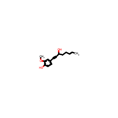 CCCCCC(O)C#Cc1ccc(O)c(OC)c1